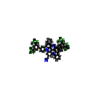 N#Cc1cc(-n2c3ccccc3c3cc(-c4cc(C(F)(F)F)cc(C(F)(F)F)c4)ccc32)c(-c2cc(-c3ccccc3)nc(-c3ccccc3)c2)c(-n2c3ccccc3c3cc(-c4cc(C(F)(F)F)cc(C(F)(F)F)c4)ccc32)c1